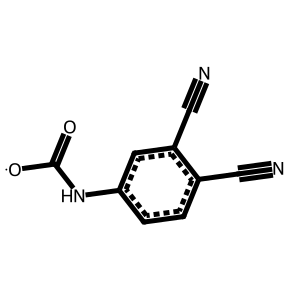 N#Cc1ccc(NC([O])=O)cc1C#N